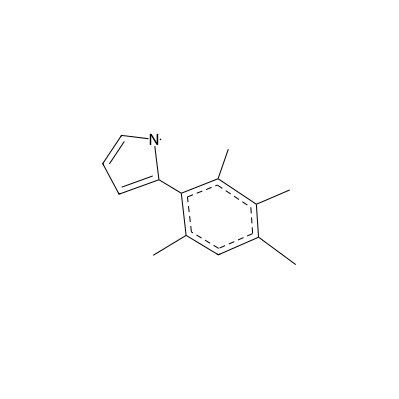 Cc1cc(C)c(C2=CC=C[N]2)c(C)c1C